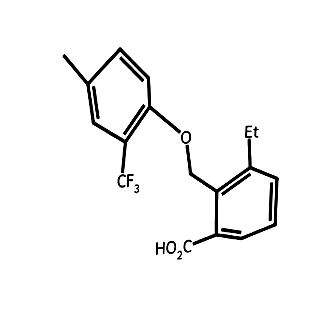 CCc1cccc(C(=O)O)c1COc1ccc(C)cc1C(F)(F)F